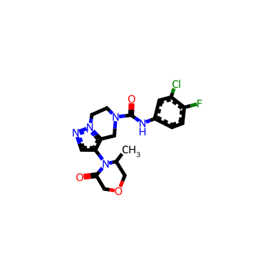 CC1COCC(=O)N1c1cnn2c1CN(C(=O)Nc1ccc(F)c(Cl)c1)CC2